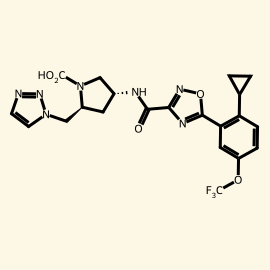 O=C(N[C@@H]1C[C@@H](Cn2ccnn2)N(C(=O)O)C1)c1noc(-c2cc(OC(F)(F)F)ccc2C2CC2)n1